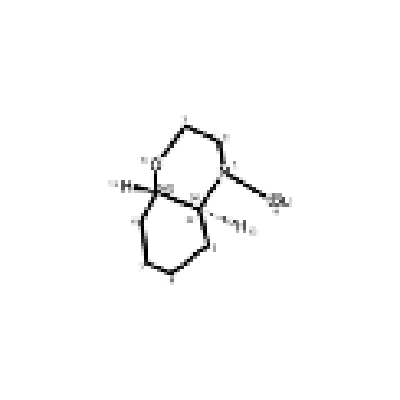 CC(C)(C)N1CCO[C@H]2CCCC[C@@H]21